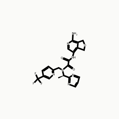 C[C@H](c1ncccn1)N(Cc1ccc(C(F)(F)F)cn1)C(=O)C(=O)Nc1cnc(N)c2c1COC2